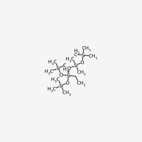 [CH2]C[Si](O[Si](C)(C)C)(O[Si](C)(C)C)O[Si](C)(C)O[Si](C)(C)C